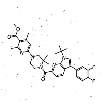 COC(=O)c1c(C)cc(N2CCN(C(=O)c3ccc4c(-c5ccc(F)c(F)c5)cn(C(C)(C)C)c4n3)C(C)(C)C2)nc1C